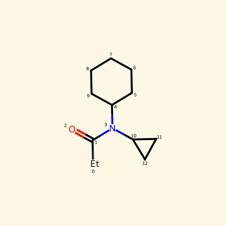 CCC(=O)N(C1CCCCC1)C1CC1